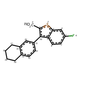 O=C(O)c1sc2cc(F)ccc2c1-c1ccc2c(c1)CCCC2